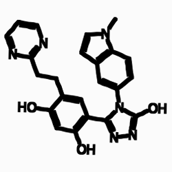 Cn1ccc2cc(-n3c(O)nnc3-c3cc(CCc4ncccn4)c(O)cc3O)ccc21